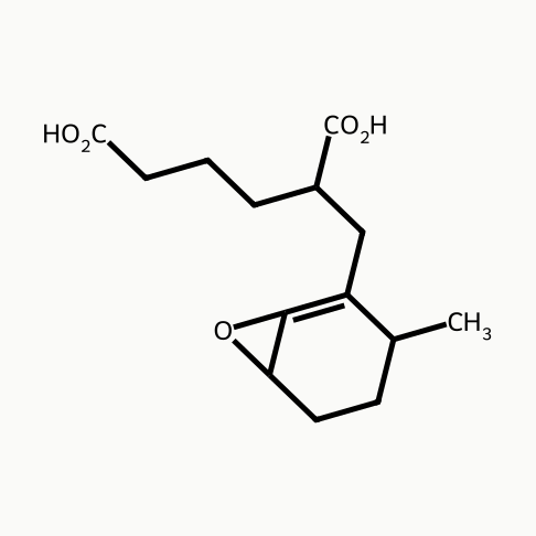 CC1CCC2OC2=C1CC(CCCC(=O)O)C(=O)O